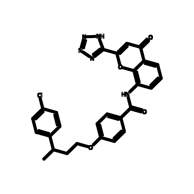 CC(CCOc1ccc(C(=O)Nc2cccc3c(=O)cc(-c4nnn[nH]4)oc23)cc1)c1ccc(Cl)cc1